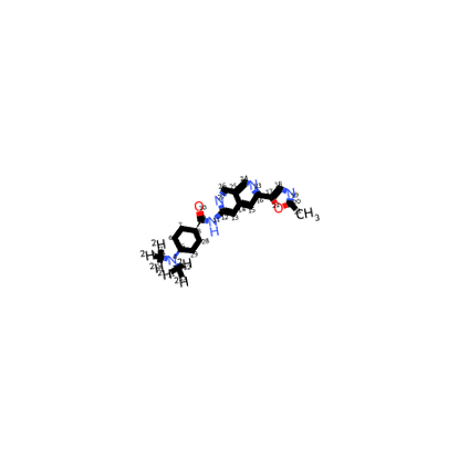 [2H]C([2H])([2H])N([C@H]1CC[C@H](C(=O)Nc2cc3cc(-c4cnc(C)o4)ncc3cn2)CC1)C([2H])([2H])[2H]